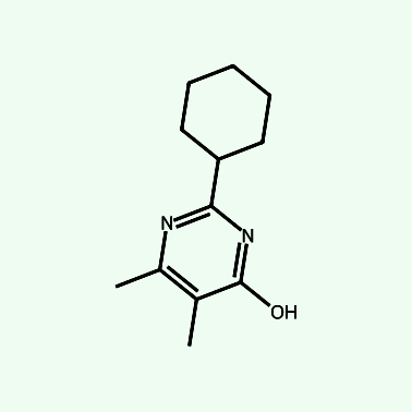 Cc1nc(C2CCCCC2)nc(O)c1C